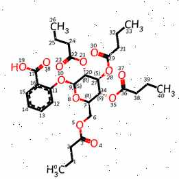 CCCC(=O)OC[C@H]1O[C@@H](Oc2ccccc2C(=O)O)[C@H](OC(=O)CCC)[C@@H](OC(=O)CCC)[C@@H]1OC(=O)CCC